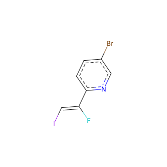 FC(=CI)c1ccc(Br)cn1